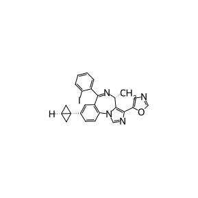 C[C@H]1N=C(c2ccccc2I)c2cc([C@]34C[C@H]3C4)ccc2-n2cnc(-c3cnco3)c21